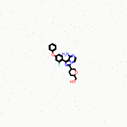 Nc1nccn2c(C3CCC(CO)OC3)nc(-c3ccc(Oc4ccccc4)cc3F)c12